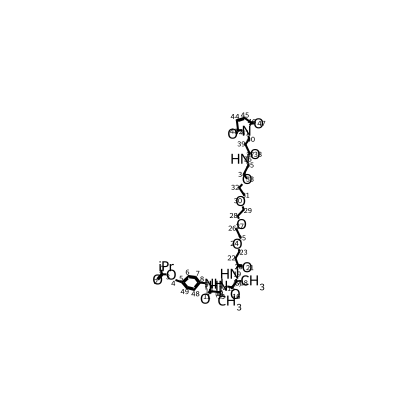 CC(C)C(=O)OCc1ccc(NC(=O)[C@H](C)NC(=O)[C@H](C)NC(=O)CCOCCOCCOCCOCCNC(=O)CCN2C(=O)C=CC2=O)cc1